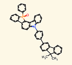 CC1(C)c2ccccc2-c2cc(-c3ccc(-n4c5ccccc5c5c6c(ccc54)-c4ccccc4P6(=O)c4ccccc4)cc3)ccc21